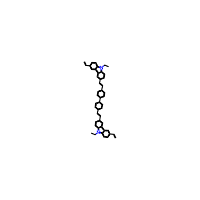 C=Cc1ccc2c(c1)c1cc(/C=C/c3ccc(-c4ccc(/C=C/c5ccc6c(c5)c5cc(C=C)ccc5n6CC)cc4)cc3)ccc1n2CC